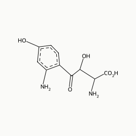 Nc1cc(O)ccc1C(=O)C(O)C(N)C(=O)O